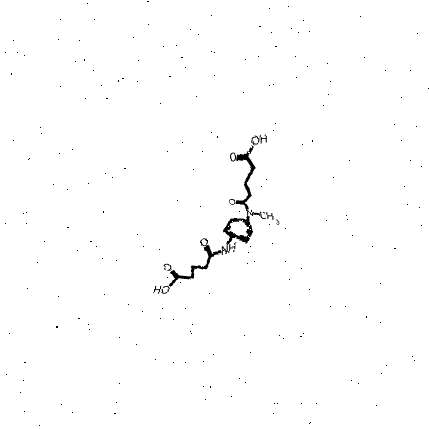 CN(C(=O)CCCC(=O)O)c1ccc(NC(=O)CCCC(=O)O)cc1